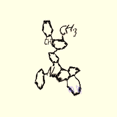 Cc1ccccc1-c1cc(-c2ccc3c(c2)c2c4cccc5c4c(cc2n3-c2ccccc2)/C=C\C=C/C5)ccc1C